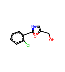 OCc1cnc(-c2ccccc2Cl)o1